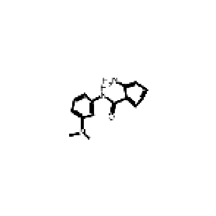 CN(C)c1cccc(NC(=O)c2ccccc2N)c1